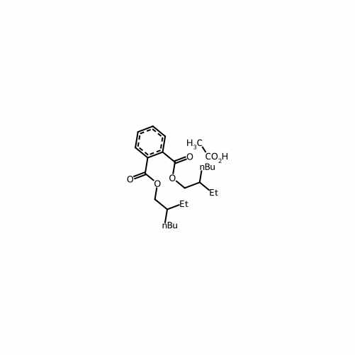 CC(=O)O.CCCCC(CC)COC(=O)c1ccccc1C(=O)OCC(CC)CCCC